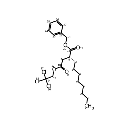 CCCCCCCC[C@H](CC(=O)OCC(Cl)(Cl)Cl)C(=O)OCc1ccccc1